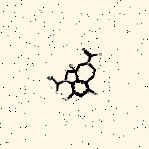 CC(C)N1C[C@@H]2CN(C(=O)O)CCc3c(Br)cc(Cl)c1c32